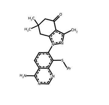 Cc1nn(-c2ccc3c(N)ncnc3c2SC(C)C)c2c1C(=O)CC(C)(C)C2